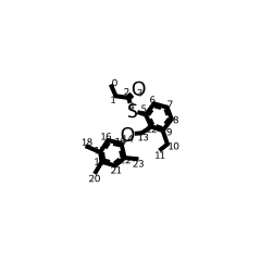 CCC(=O)Sc1cccc(CC)c1COc1cc(C)c(C)cc1C